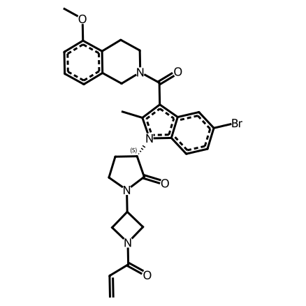 C=CC(=O)N1CC(N2CC[C@H](n3c(C)c(C(=O)N4CCc5c(cccc5OC)C4)c4cc(Br)ccc43)C2=O)C1